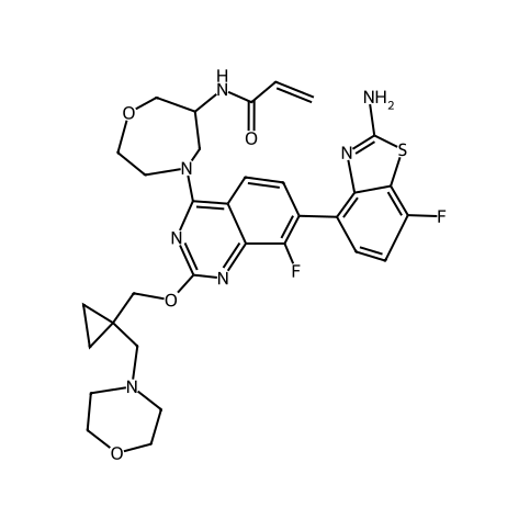 C=CC(=O)NC1COCCN(c2nc(OCC3(CN4CCOCC4)CC3)nc3c(F)c(-c4ccc(F)c5sc(N)nc45)ccc23)C1